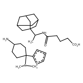 CC(NC(=O)CCCC(=O)O)C12CC3CC(CC(C3)C1)C2.CN(C)C1(c2cccs2)CCC(N)CC1